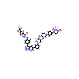 Cc1cc(-c2n[nH]c3ncc(-c4cccc(N5CCN(CC6CCN(c7ccc(N8CCC(=O)NC8=O)cc7)CC6)CC5)c4)cc23)ccc1CNC(=O)c1noc(C(C)(C)C)n1